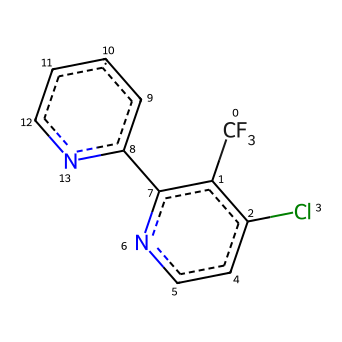 FC(F)(F)c1c(Cl)ccnc1-c1c[c]ccn1